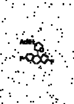 CC(=O)NC1CCOC(C2c3ccc(F)cc3CCc3cc(F)ccc32)C1